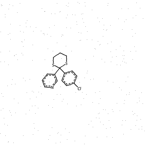 Clc1ccc(C2(c3cccnc3)SCCCS2)cc1